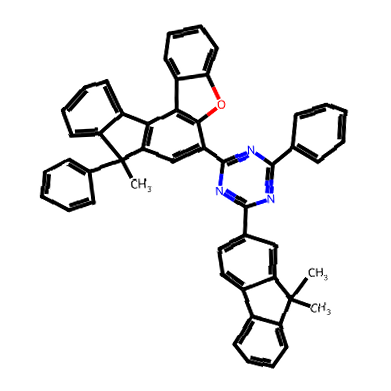 CC1(C)c2ccccc2-c2ccc(-c3nc(-c4ccccc4)nc(-c4cc5c(c6c4oc4ccccc46)-c4ccccc4C5(C)c4ccccc4)n3)cc21